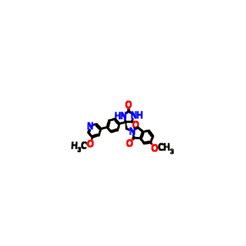 COc1cncc(-c2ccc([C@]3(CN4Cc5ccc(OC)cc5C4=O)NC(=O)NC3=O)cc2)c1